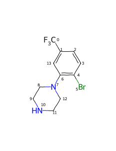 FC(F)(F)c1ccc(Br)c(N2CCNCC2)c1